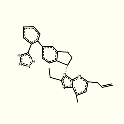 C=CCc1cc(C)c2nc(CC)n([C@H]3CCc4cc(-c5ccccc5-c5nnn[nH]5)ccc43)c2n1